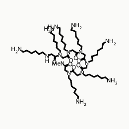 CNC(=O)CN(CCCCCCN)C(=O)CN(CCCCCCN)C(=O)CN(CCCCCCN)C(=O)CN(CCCCCCN)C(=O)CN(CCCCCCN)C(=O)CN(CCCCCCN)C(=O)CNCCCCCCN